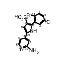 CCc1ccc(Cl)cc1-c1[nH]c(-c2ccnc(N)n2)cc1C(=O)O